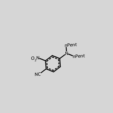 CCCCCN(CCCCC)c1ccc(C#N)c([N+](=O)[O-])c1